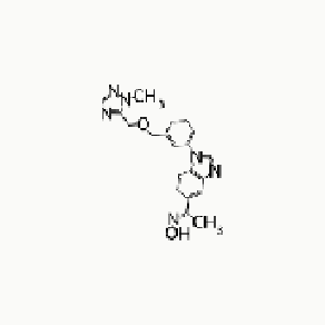 C/C(=N\O)c1ccc2c(c1)ncn2-c1cccc(COCc2ncnn2C)c1